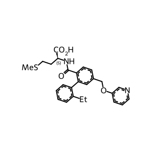 CCc1ccccc1-c1cc(COc2cccnc2)ccc1C(=O)N[C@@H](CCSC)C(=O)O